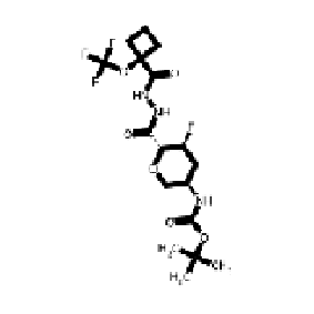 CC(C)(C)OC(=O)N[C@H]1CO[C@H](C(=O)NNC(=O)C2(OC(F)(F)F)CCC2)[C@@H](F)C1